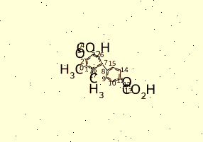 Cc1c(OC(=O)O)ccc(-c2ccc(OC(=O)O)cc2)c1C